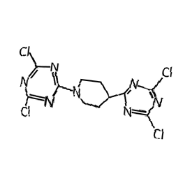 Clc1nc(Cl)nc(C2CCN(c3nc(Cl)nc(Cl)n3)CC2)n1